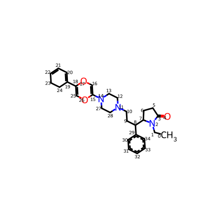 CCN1C(=O)CCC1C(CCN1CCN(C2=COC(C3=CC=CCC3)=CO2)CC1)c1ccccc1